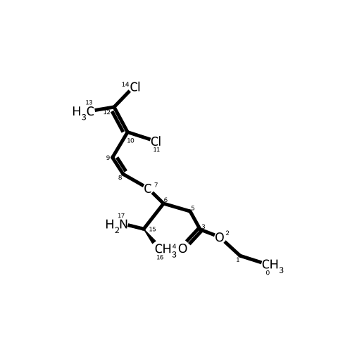 CCOC(=O)CC(C/C=C\C(Cl)=C(/C)Cl)[C@@H](C)N